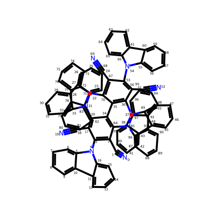 N#Cc1c(-n2c3ccccc3c3ccccc32)c(C#N)c(-n2c3ccccc3c3ccccc32)c(-c2c(-n3c4ccccc4c4ccccc43)c(C#N)c(-n3c4ccccc4c4ccccc43)c(C#N)c2-n2c3ccccc3c3ccccc32)c1-n1c2ccccc2c2ccccc21